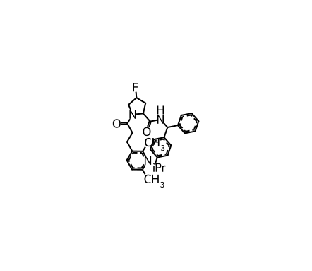 Cc1ccc(CCC(=O)N2CC(F)CC2C(=O)NC(c2ccccc2)c2ccc(C(C)C)cc2)c(C)n1